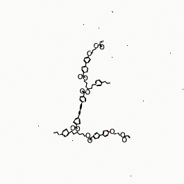 C=CC(=O)OCCCOc1ccc(-c2ccc(C(=O)OCCCC(CCc3ccc(CCC)cc3)OC(=O)c3ccc(C#CC#Cc4ccc(C(=O)OC(CCCOC(=O)c5ccc(-c6ccc(OCCCOC(=O)C=C)cc6)cc5)CCc5ccc(CCC)cc5)cc4)cc3)cc2)cc1